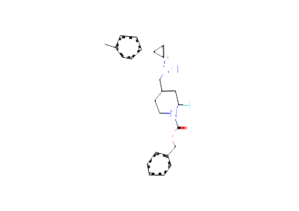 Cc1ccc([C@@H]2C[C@H]2NCC2CCN(C(=O)OCc3ccccc3)C(F)C2)cc1